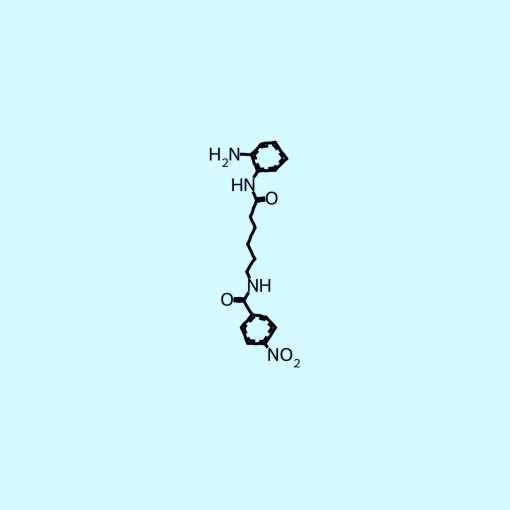 Nc1ccccc1NC(=O)CCCCCNC(=O)c1ccc([N+](=O)[O-])cc1